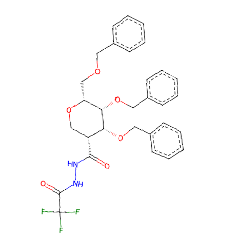 O=C(NNC(=O)C(F)(F)F)[C@@H]1CO[C@H](COCc2ccccc2)[C@H](OCc2ccccc2)[C@@H]1OCc1ccccc1